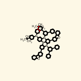 CC(C)(C)c1ccc(N(c2ccc(C(C)(C)C)cc2)c2ccc3c(c2)N(c2cc(-c4ccccc4)cc(-c4ccccc4)c2)c2cc(-c4ccc5oc6ccccc6c5c4)cc4c2B3c2ccc(-c3ccc5oc6ccccc6c5c3)cc2N4c2cc(-c3ccccc3)cc(-c3ccccc3)c2)cc1